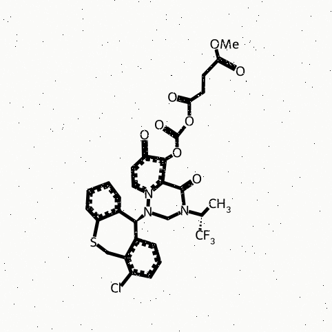 COC(=O)CCC(=O)OC(=O)Oc1c2n(ccc1=O)N([C@@H]1c3ccccc3SCc3c(Cl)cccc31)CN([C@H](C)C(F)(F)F)C2=O